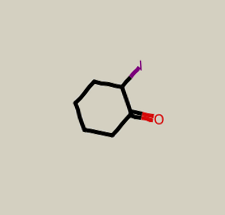 O=C1CCCCC1I